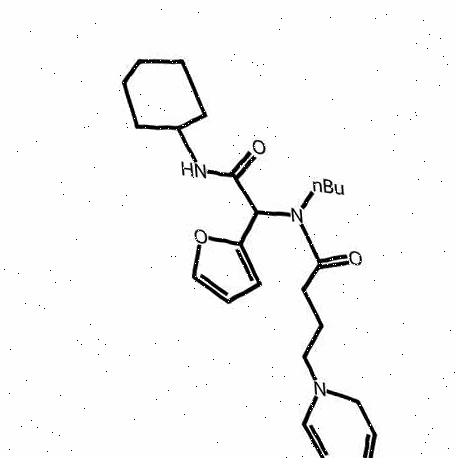 CCCCN(C(=O)CCCN1C=CC=CC1)C(C(=O)NC1CCCCC1)c1ccco1